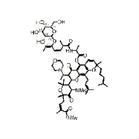 C/C=C(\C=C/C(C)C(=O)NC(C)C(=O)Oc1c2c(c(CC=C(C)C)c3c1C(=O)C(C(C)N1CCOCC1)C(C1C(NC)C(=O)C(C)(C/C=C(/C)C(=O)OC)OC1(C)C)O3)OC(C)(CCC=C(C)C)C=C2)O[C@@H]1O[C@H](CO)[C@@H](O)[C@@H](O)[C@H]1O